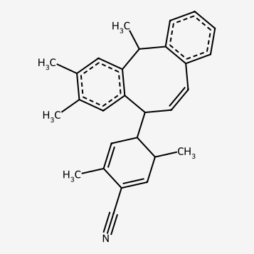 CC1=CC(C2C=Cc3ccccc3C(C)c3cc(C)c(C)cc32)C(C)C=C1C#N